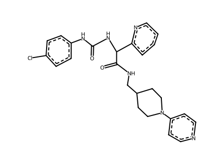 O=C(Nc1ccc(Cl)cc1)NC(C(=O)NCC1CCN(c2ccncc2)CC1)c1ccccn1